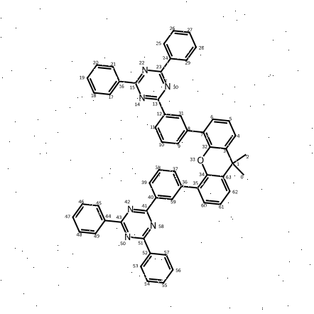 CC1(C)c2cccc(-c3cccc(-c4nc(-c5ccccc5)nc(-c5ccccc5)n4)c3)c2Oc2c(-c3cccc(-c4nc(-c5ccccc5)nc(-c5ccccc5)n4)c3)cccc21